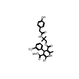 CCC1=C(C(=O)OC)C(c2cccc([N+](=O)[O-])c2)C(C(=O)OCC(C)(C)NC(=O)Cc2ccc(O)cc2)=C(C)N1